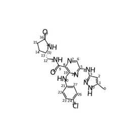 Cc1cc(Nc2cnc(C(=O)NC[C@@H]3CCC(=O)N3)c(Nc3ccc(Cl)cc3)n2)n[nH]1